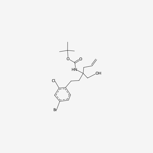 C=CCC(CO)(CCc1ccc(Br)cc1Cl)NC(=O)OC(C)(C)C